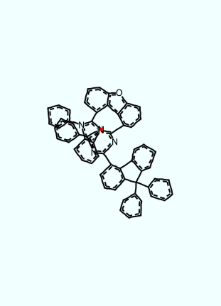 c1ccc(-c2nc(-c3cccc4c3-c3ccccc3C4(c3ccccc3)c3ccccc3)nc(-c3cccc4oc5cccc(-c6nc7ccccc7n6-c6ccccc6)c5c34)n2)cc1